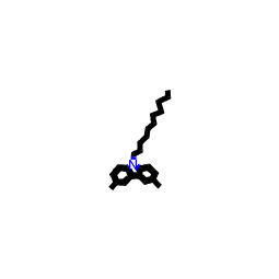 CCCCCCCCCCCn1c2ccc(C)cc2c2cc(C)ccc21